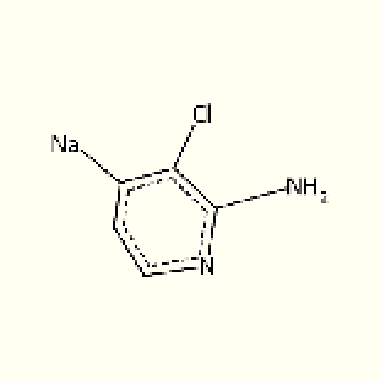 Nc1ncc[c]([Na])c1Cl